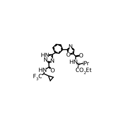 CCOC(=O)[C@@H](NC(=O)c1cnc(-c2cccc(-c3nc(C(=O)NC(C4CC4)C(F)(F)F)n[nH]3)c2)o1)C(C)C